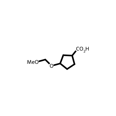 COCOC1CCC(C(=O)O)C1